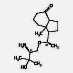 C[C@@H](OC[C@H](N)C(C)(C)O)C1CCC2C(=O)CCCC21C